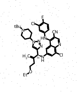 C=C(CCOCC)[C@H](Nc1cc(Cl)c2ncc(C#N)c(Nc3ccc(F)c(Cl)c3)c2c1)c1cn(C2CCN(C(C)(C)C)CC2)nn1